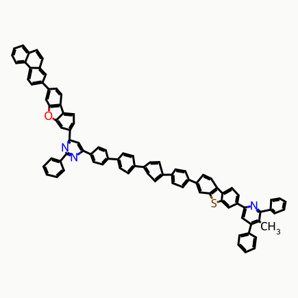 Cc1c(-c2ccccc2)cc(-c2ccc3c(c2)sc2cc(-c4ccc(-c5ccc(-c6ccc(-c7ccc(-c8cc(-c9ccc%10c(c9)oc9cc(-c%11ccc%12c(ccc%13ccccc%13%12)c%11)ccc9%10)nc(-c9ccccc9)n8)cc7)cc6)cc5)cc4)ccc23)nc1-c1ccccc1